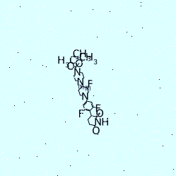 CC(C)(C)OC(=O)N1CCN([C@H]2CCN(c3cc(F)c(C4CCC(=O)NC4=O)c(F)c3)C[C@H]2F)CC1